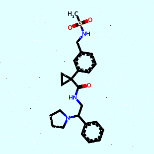 CS(=O)(=O)NCc1cccc(C2(C(=O)NCC(c3ccccc3)N3CCCC3)CC2)c1